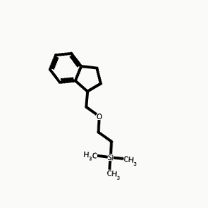 C[Si](C)(C)CCOCC1CCc2ccccc21